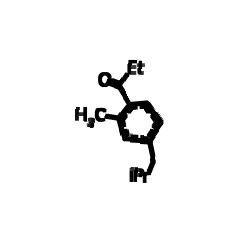 CCC(=O)c1ccc(CC(C)C)cc1C